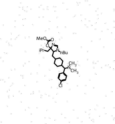 CCCCN1C=NC(CC(C)C)(OC(=O)OC)C1CC1CCC(C(c2ccc(Cl)cc2)N(C)C)CC1